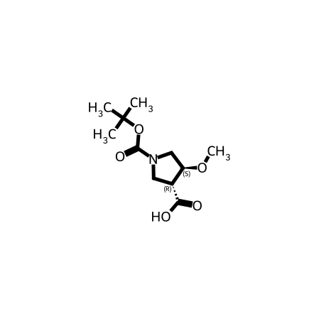 CO[C@@H]1CN(C(=O)OC(C)(C)C)C[C@H]1C(=O)O